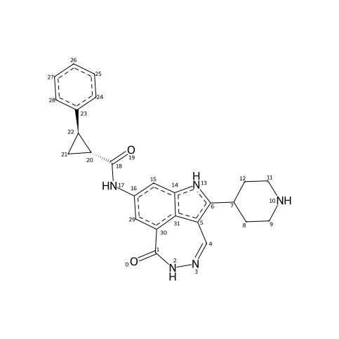 O=C1NN=Cc2c(C3CCNCC3)[nH]c3cc(NC(=O)[C@@H]4C[C@H]4c4ccccc4)cc1c23